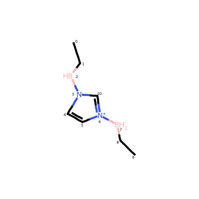 CCBn1cc[n+]([BH2-]CC)c1